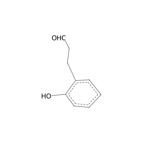 O=CCCc1ccccc1O